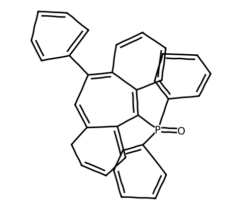 O=P(C1=c2ccccc2=C(c2ccccc2)C=C2CC=CC=C21)(c1ccccc1)c1ccccc1